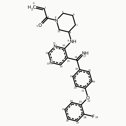 C=CC(=O)N1CCCC(Nc2ncncc2C(=N)c2ccc(Oc3ccccc3F)cc2)C1